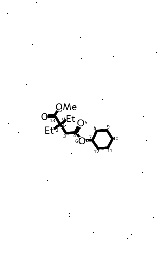 CCC(CC)(CC(=O)OC1CCCCC1)C(=O)OC